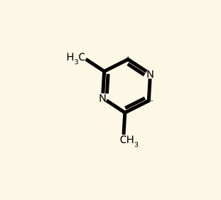 Cc1[c]n[c]c(C)n1